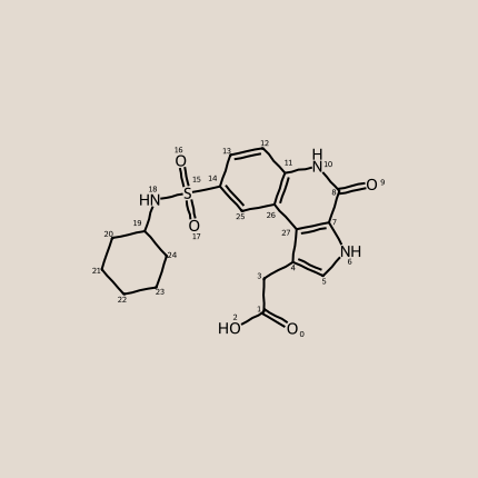 O=C(O)Cc1c[nH]c2c(=O)[nH]c3ccc(S(=O)(=O)NC4CCCCC4)cc3c12